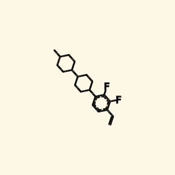 C=Cc1ccc(C2CCC(C3CCC(C)CC3)CC2)c(F)c1F